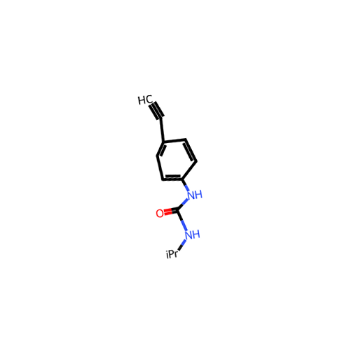 C#Cc1ccc(NC(=O)NC(C)C)cc1